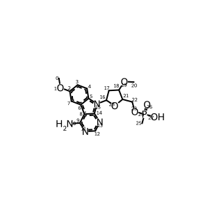 COc1ccc2c(c1)c1c(N)ncnc1n2C1CC(OC)C(COP(C)(=O)O)O1